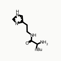 CCCCC(N)C(=O)NCCc1c[nH]cn1